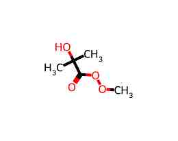 COOC(=O)C(C)(C)O